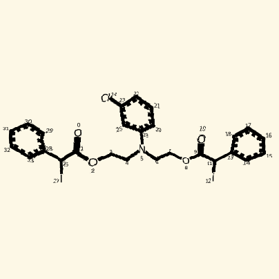 O=C(OCCN(CCOC(=O)C(I)c1ccccc1)c1cccc(Cl)c1)C(I)c1ccccc1